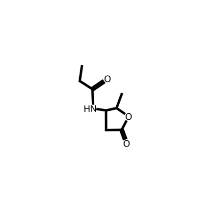 CCC(=O)NC1CC(=O)OC1C